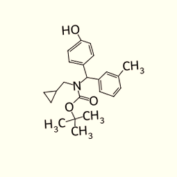 Cc1cccc(C(c2ccc(O)cc2)N(CC2CC2)C(=O)OC(C)(C)C)c1